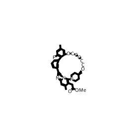 COC(=O)Cc1c(C)cc2nc3cn2c1N1CCC(C)(CC1)OCCOCCOc1cc(C)cc(F)c1-c1cccc-3c1